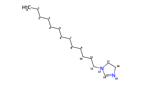 CCCCCCCCCCCCCN1C=NCC1